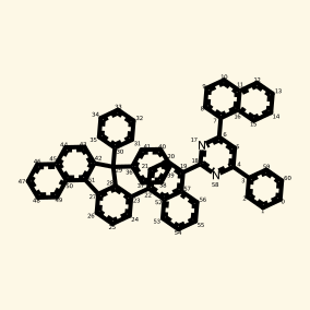 c1ccc(-c2cc(-c3cccc4ccccc34)nc(-c3ccc(-c4cccc5c4C(c4ccccc4)(c4ccccc4)c4ccc6ccccc6c4-5)c4ccccc34)n2)cc1